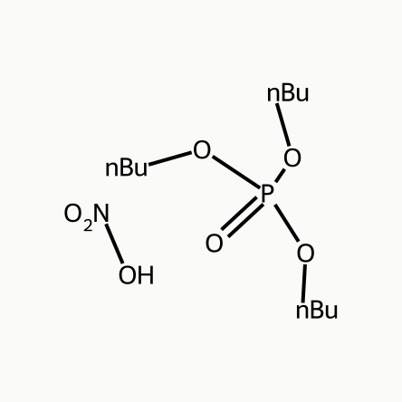 CCCCOP(=O)(OCCCC)OCCCC.O=[N+]([O-])O